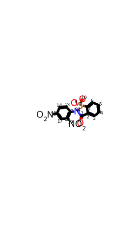 O=C1c2ccccc2S(=O)(=O)N1c1ccc([N+](=O)[O-])cc1[N+](=O)[O-]